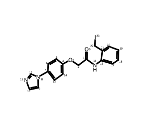 O=C(COc1ccc(-n2ccnc2)cc1)Nc1ccccc1CI